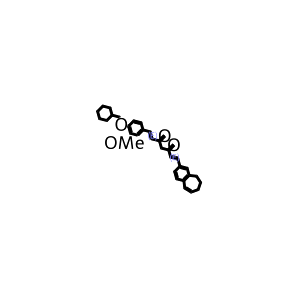 COc1cc(OCC2CCCCC2)ccc1/C=C/C(=O)CC(=O)/C=C/c1ccc2c(c1)CCCC=C2